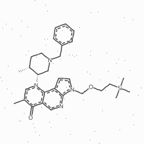 Cc1cn([C@H]2CN(Cc3ccccc3)CC[C@H]2C)c2c(cnc3c2ccn3COCC[Si](C)(C)C)c1=O